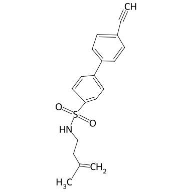 C#Cc1ccc(-c2ccc(S(=O)(=O)NCCC(=C)C)cc2)cc1